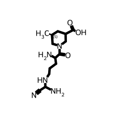 C[C@H]1CC(C(=O)O)CN(C(=O)C(N)CCCNC(N)C#N)C1